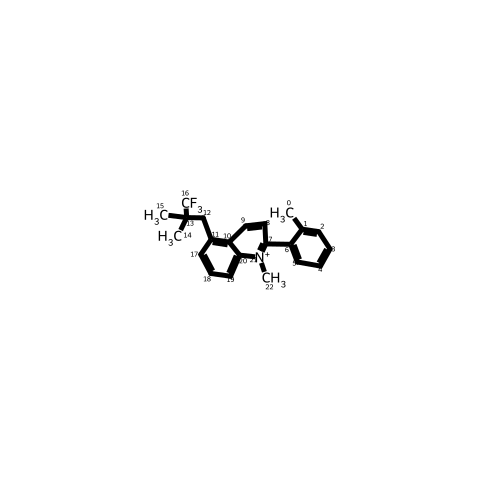 Cc1ccccc1-c1ccc2c(CC(C)(C)C(F)(F)F)cccc2[n+]1C